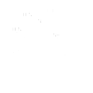 C#Cc1ccc2c(C(N)=O)c(N(N)C=O)[nH]c2c1